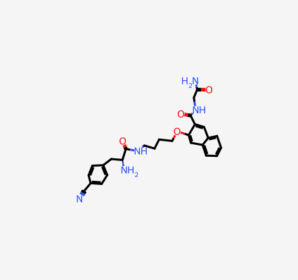 N#Cc1ccc(C[C@H](N)C(=O)NCCCCOc2cc3ccccc3cc2C(=O)NCC(N)=O)cc1